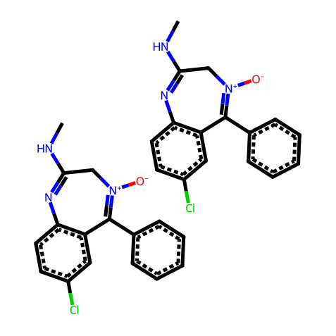 CNC1=Nc2ccc(Cl)cc2C(c2ccccc2)=[N+]([O-])C1.CNC1=Nc2ccc(Cl)cc2C(c2ccccc2)=[N+]([O-])C1